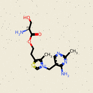 Cc1ncc(C[n+]2csc(CCOC(=O)[C@@H](N)CO)c2C)c(N)n1